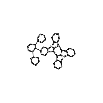 c1ccc(-c2cccc(-c3ccccc3)c2-c2ccc3c4c5c6ccccc6n6c7ccccc7c(c7c8ccccc8n(c3c2)c74)c56)cc1